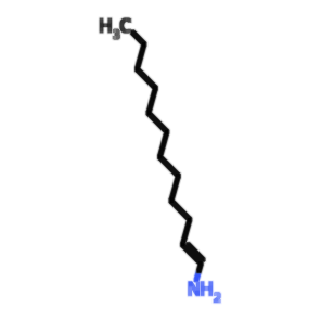 CCCCCCCCCCC=CN